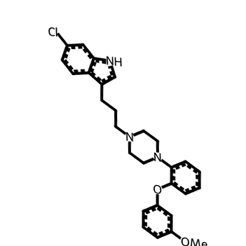 COc1cccc(Oc2ccccc2N2CCN(CCCc3c[nH]c4cc(Cl)ccc34)CC2)c1